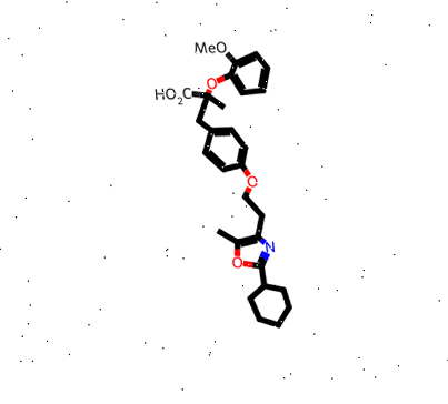 COc1ccccc1OC(C)(Cc1ccc(OCCc2nc(C3CCCCC3)oc2C)cc1)C(=O)O